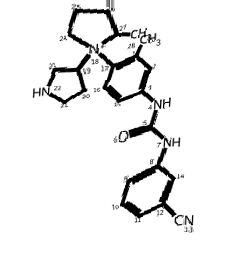 Cc1cc(NC(=O)Nc2cccc(C#N)c2)ccc1[N+]1(C2CCNC2)CCCC1C